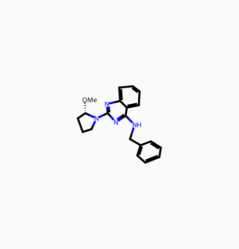 CO[C@H]1CCCN1c1nc(NCc2ccccc2)c2ccccc2n1